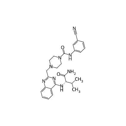 CC(C)[C@H](Nc1nc(CN2CCN(C(=O)Nc3cccc(C#N)c3)CC2)nc2ccccc12)C(N)=O